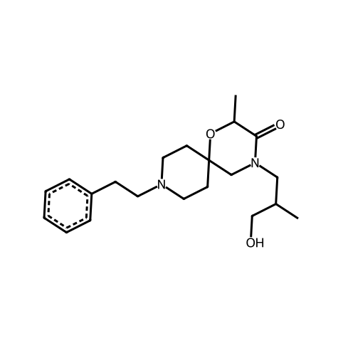 CC(CO)CN1CC2(CCN(CCc3ccccc3)CC2)OC(C)C1=O